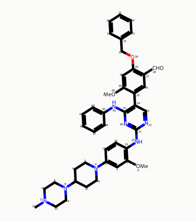 COc1cc(N2CCC(N3CCN(C)CC3)CC2)ccc1Nc1ncc(-c2cc(C=O)c(OCc3ccccc3)cc2OC)c(Nc2ccccc2)n1